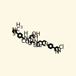 Cc1ncsc1-c1ccc([C@H](C)NC(=O)[C@@H]2C[C@@H](O)CN2C(=O)C(NC(=O)CC2CCN(c3ccc(-c4cnnc(Cl)c4)cc3)CC2)C(C)(C)C)cc1